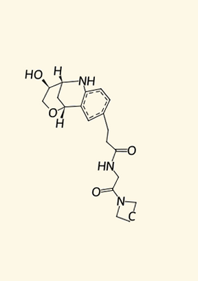 O=C(CCc1ccc2c(c1)[C@H]1C[C@@H](N2)[C@H](O)CO1)NCC(=O)N1CCCC1